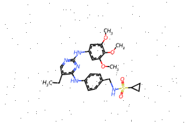 CCc1cnc(Nc2cc(OC)c(OC)c(OC)c2)nc1Nc1ccc(CNS(=O)(=O)C2CC2)cc1